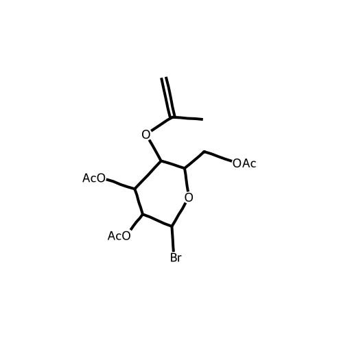 C=C(C)OC1C(COC(C)=O)OC(Br)C(OC(C)=O)C1OC(C)=O